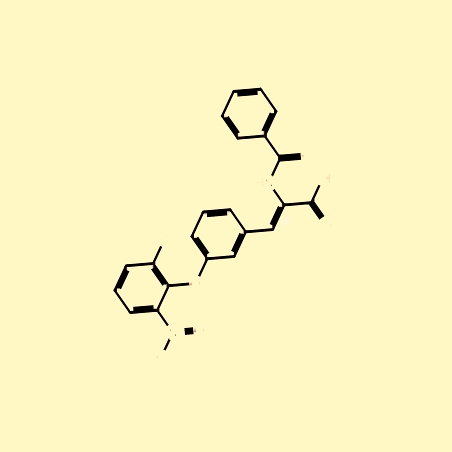 O=C(O)/C(=C/c1cccc(Oc2c(Cl)cccc2[N+](=O)[O-])c1)NC(=O)c1ccccc1